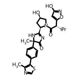 Cc1ncsc1-c1ccc([C@]2(C)NC([C@H]3C[C@@H](O)CN3C(=O)[C@H](c3cc(O)no3)C(C)C)=NC2=O)cc1